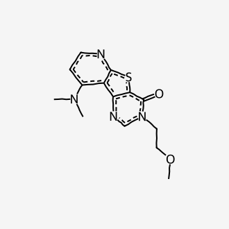 COCCn1cnc2c(sc3nccc(N(C)C)c32)c1=O